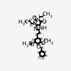 CCCn1c(=O)c2[nH]c(C=Cc3cc(OC)c(OCc4ccccc4)c(OC)c3)nc2n(CCC)c1=O